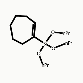 CCCO[Si](OCCC)(OCCC)C1=CCCCCC1